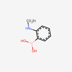 CCOC(=O)Nc1ccccc1B(O)O